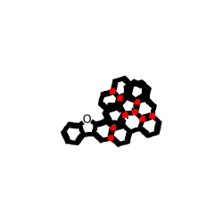 c1ccc(N(c2ccccc2-c2cccc3c2oc2ccccc23)c2cccc3ccc4ccccc4c23)c(-c2ccccc2-n2c3ccccc3c3ccccc32)c1